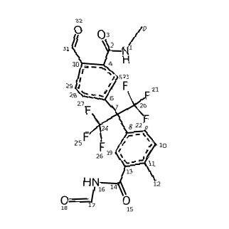 CNC(=O)c1cc(C(c2ccc(C)c(C(=O)NC=O)c2)(C(F)(F)F)C(F)(F)F)ccc1C=O